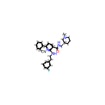 CC(=O)N1CCC[C@@H](CNC(=O)c2ccc(-c3ccccc3C#N)nc2NCCc2cccc(F)c2)C1